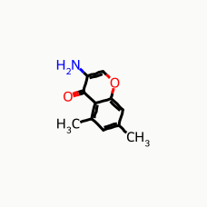 Cc1cc(C)c2c(=O)c(N)coc2c1